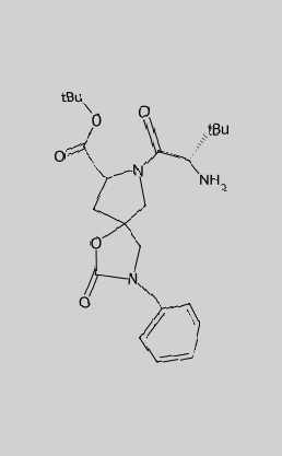 CC(C)(C)OC(=O)C1CC2(CN(c3ccccc3)C(=O)O2)CN1C(=O)[C@@H](N)C(C)(C)C